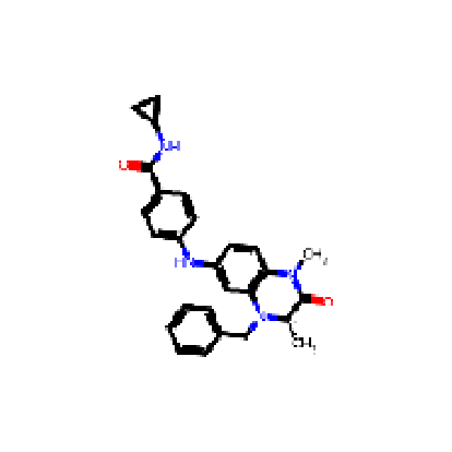 C[C@@H]1C(=O)N(C)c2ccc(Nc3ccc(C(=O)NC4CC4)cc3)cc2N1Cc1ccccc1